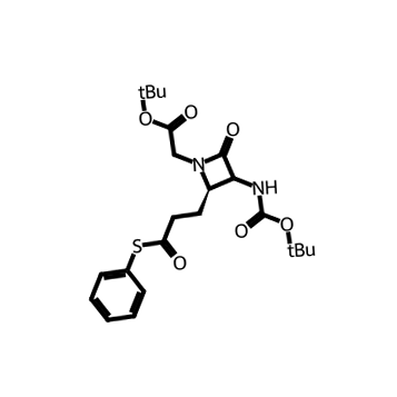 CC(C)(C)OC(=O)CN1C(=O)C(NC(=O)OC(C)(C)C)[C@H]1CCC(=O)Sc1ccccc1